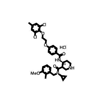 COc1cccc(CN(C(=O)C2CNCC[C@@H]2NC(=O)c2ccc(OCCOc3c(Cl)cc(C)cc3Cl)cc2)C2CC2)c1C.Cl